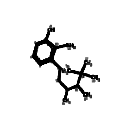 CC(CCc1cccc(O)c1N)C(C)C(C)(C)C